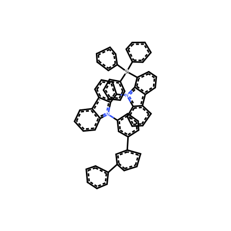 c1ccc(-c2cccc(-c3cccc(-n4c5ccccc5c5cccc(-n6c7ccccc7c7cccc([Si](c8ccccc8)(c8ccccc8)c8ccccc8)c76)c54)c3)c2)cc1